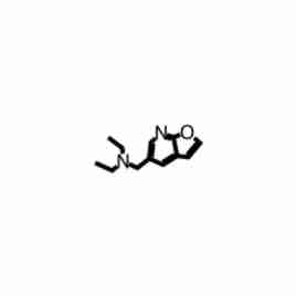 CCN(CC)Cc1cnc2occc2c1